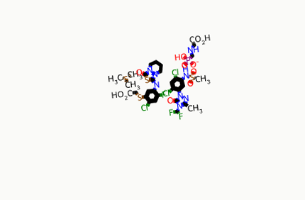 C[S+](C)C.Cc1nn(-c2cc(NS(C)(=O)=O)c(Cl)cc2Cl)c(=O)n1C(F)F.O=C(O)CNCP(=O)([O-])O.O=C(O)CSc1cc(N=c2sc(=O)n3n2CCCC3)c(F)cc1Cl